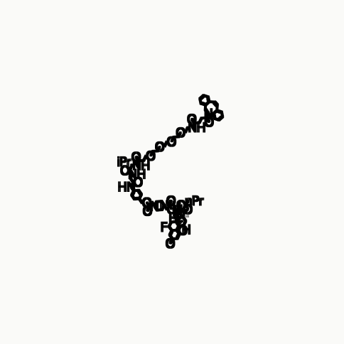 CCCC1O[C@@H]2CC3[C@@H]4C[C@H](F)C5=CC(=O)C=C[C@@]56O[C@@H](C[C@]3(C)[C@]2(C(=O)COC(=O)N2CCN(C(=O)OCc3ccc(NC(=O)CNC(=O)C(NC(=O)CCOCCOCCOCCOCCNC(=O)CCC(=O)N5Cc7ccccc7C#Cc7ccccc75)C(C)C)cc3)CC2)O1)[C@@]46F